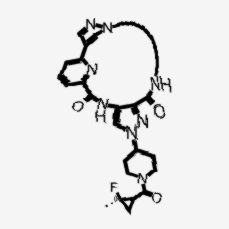 C[C@@]1(F)CC1C(=O)N1CCC(n2cc3c(n2)C(=O)NCCCCCCn2cc(cn2)-c2cccc(n2)C(=O)N3)CC1